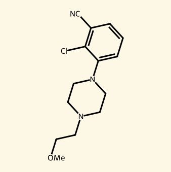 COCCN1CCN(c2cccc(C#N)c2Cl)CC1